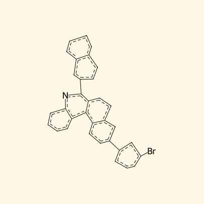 Brc1cccc(-c2ccc3c(ccc4c(-c5ccc6ccccc6c5)nc5ccccc5c43)c2)c1